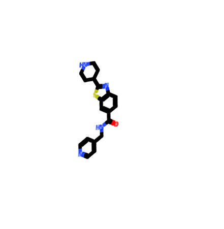 O=C(NCc1ccncc1)c1ccc2nc(C3CCNCC3)sc2c1